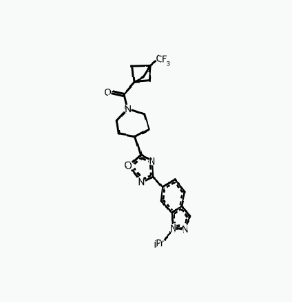 CC(C)n1ncc2ccc(-c3noc(C4CCN(C(=O)C56CC(C(F)(F)F)(C5)C6)CC4)n3)cc21